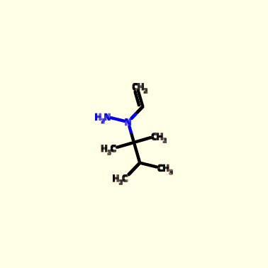 C=CN(N)C(C)(C)C(C)C